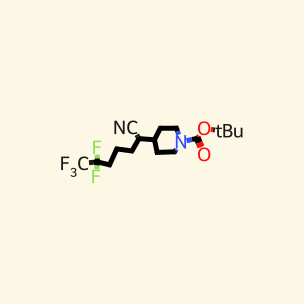 CC(C)(C)OC(=O)N1CCC(C(C#N)CCCC(F)(F)C(F)(F)F)CC1